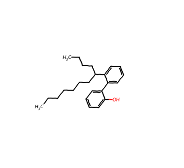 CCCCCCCC(CCCC)c1ccccc1-c1ccccc1O